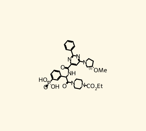 CCOC(=O)N1CCN(C(=O)C(NC(=O)c2cc(N3CC[C@H](OC)C3)nc(-c3ccccc3)n2)c2cccc(P(=O)(O)O)c2)CC1